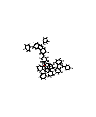 C1=CC2c3ccccc3C3(c4ccccc4-c4ccccc43)C2C(N(c2ccc(-c3ccc4c(c3)c3cc(-c5ccccc5)ccc3n4-c3ccccc3)cc2)c2ccc(-c3cccc4c3c3ccccc3n4-c3ccccc3)cc2)=C1